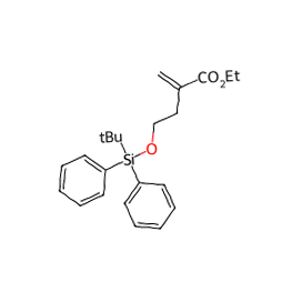 C=C(CCO[Si](c1ccccc1)(c1ccccc1)C(C)(C)C)C(=O)OCC